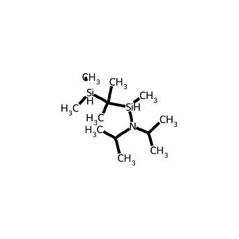 CC(C)N(C(C)C)[SiH](C)C(C)(C)[SiH](C)C